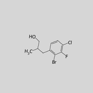 CC(CO)Cc1ccc(Cl)c(F)c1Br